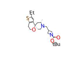 CCc1cc2c(s1)CCO[C@@]21CCN(CC2CN(C(=O)OC(C)(C)C)C2)[C@@H](C)C1